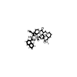 CN(CC1CCCN(CCC(=O)N2CCc3c(sc(NC(=O)c4cccc5ccccc45)c3C#N)C2)C1)c1ccnc(S(C)(=O)=O)n1